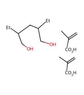 C=C(C)C(=O)O.C=C(C)C(=O)O.CCC(CO)CC(CC)CO